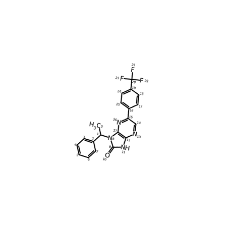 CC(c1ccccc1)n1c(=O)[nH]c2ncc(-c3ccc(C(F)(F)F)cc3)nc21